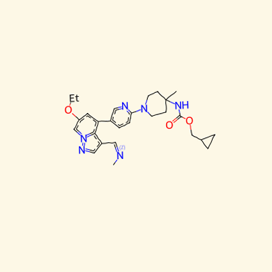 CCOc1cc(-c2ccc(N3CCC(C)(NC(=O)OCC4CC4)CC3)nc2)c2c(/C=N\C)cnn2c1